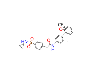 Cc1cc(NC(=O)Cc2ccc(S(=O)(=O)NC3CC3)cc2)ccc1-c1ccccc1OC(F)(F)F